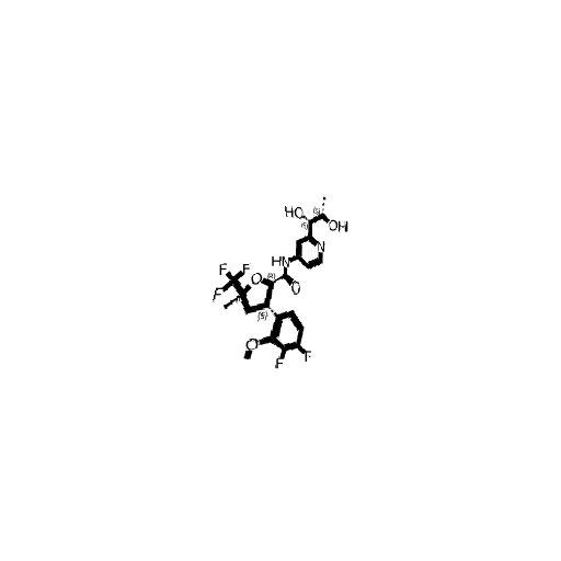 COc1c([C@@H]2C[C@](C)(C(F)(F)F)O[C@H]2C(=O)Nc2ccnc([C@H](O)[C@H](C)O)c2)ccc(F)c1F